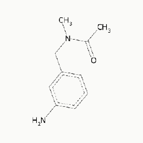 CC(=O)N(C)Cc1cccc(N)c1